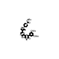 COc1cc(OC)cc(-c2nc(-c3nc(-c4cnn(C5CCN(C(=O)OC(C)(C)C)CC5)c4C)cnc3N)cn(C)c2=O)c1